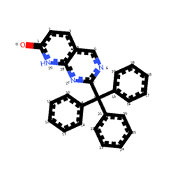 O=c1ccc2cnc(C(c3ccccc3)(c3ccccc3)c3ccccc3)nc2[nH]1